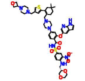 CC1(C)CCC(CN2CCN(c3ccc(C(=O)NS(=O)(=O)c4ccc(NC[C@H]5COCCO5)c([N+](=O)[O-])c4)c(Oc4cnc5[nH]ccc5c4)c3)CC2)=C(c2cc(CN3CCN(C4COC4)CC3)cs2)C1